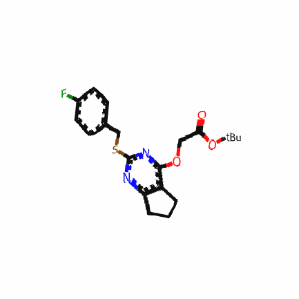 CC(C)(C)OC(=O)COc1nc(SCc2ccc(F)cc2)nc2c1CCC2